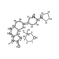 Cn1c(=O)n([C@H]2CCOCC2(C)C)c2c3cc(-c4ccc(N5CCCC5)nc4)ccc3nnc21